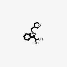 OC(O)c1nn(CC2CCOC2)c2ccccc12